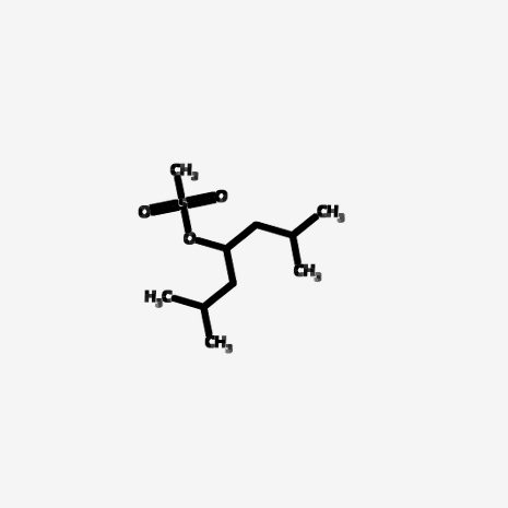 CC(C)CC(CC(C)C)OS(C)(=O)=O